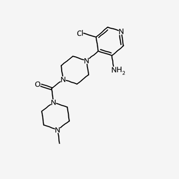 CN1CCN(C(=O)N2CCN(c3c(N)cncc3Cl)CC2)CC1